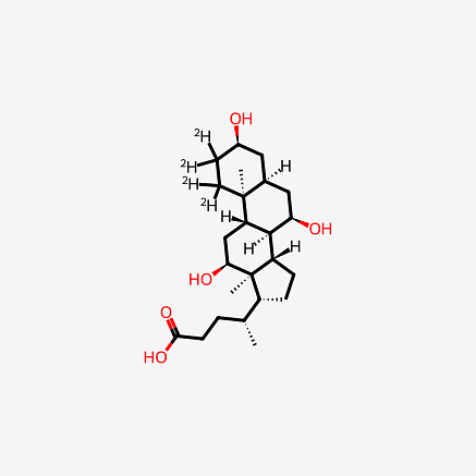 [2H]C1([2H])[C@@H](O)C[C@H]2C[C@@H](O)[C@H]3[C@@H]4CC[C@H]([C@H](C)CCC(=O)O)[C@@]4(C)[C@@H](O)C[C@@H]3[C@@]2(C)C1([2H])[2H]